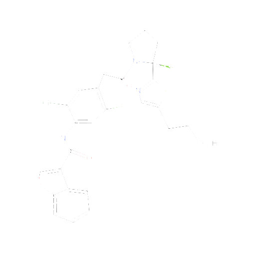 O=C(O)CCc1cnc([C@@]2(F)CCCN2C(=O)Cc2cc(Cl)c(NC(=O)c3coc4ccccc34)cc2F)s1